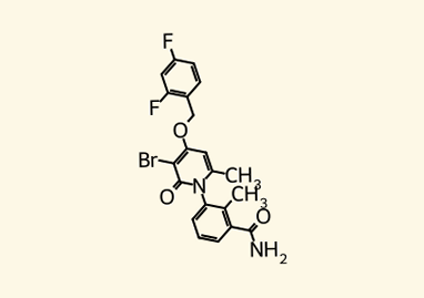 Cc1c(C(N)=O)cccc1-n1c(C)cc(OCc2ccc(F)cc2F)c(Br)c1=O